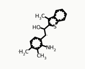 [CH2]c1ccc([CH]C(O)c2sc3ccccc3c2C)c(N)c1C